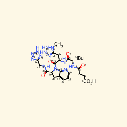 CC[C@H](C)[C@H](NC(=O)CCC(=O)O)C(=O)NC(CC1=NNNN1C)C(=O)N1c2ncccc2C[C@H]1C(=O)NCc1nn[nH]n1